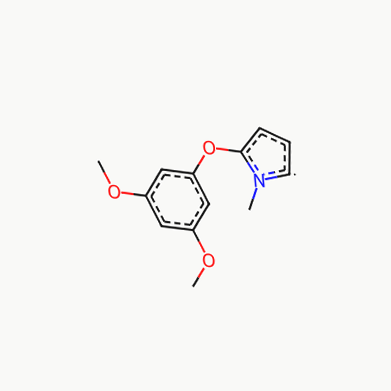 COc1cc(OC)cc(Oc2cc[c]n2C)c1